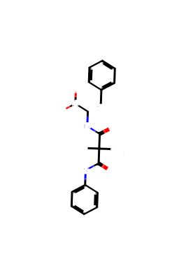 CC(C)(C(=O)Nc1ccccc1)C(=O)N[C@@H](Cc1ccccc1)B(O)O